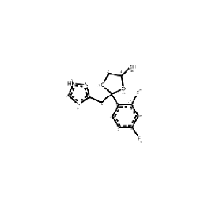 Fc1ccc(C2(Cc3nc[nH]n3)OCC(S)O2)c(F)c1